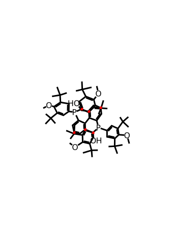 COc1c(C(C)(C)C)cc(P(c2cc(C(C)(C)C)c(OC)c(C(C)(C)C)c2)c2cccc(CO)c2-c2c(CO)cccc2P(c2cc(C(C)(C)C)c(OC)c(C(C)(C)C)c2)c2cc(C(C)(C)C)c(OC)c(C(C)(C)C)c2)cc1C(C)(C)C